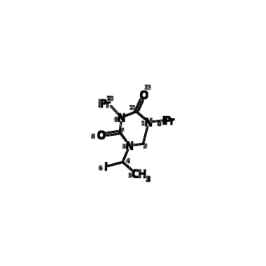 CC(C)N1CN(C(C)I)C(=O)N(C(C)C)C1=O